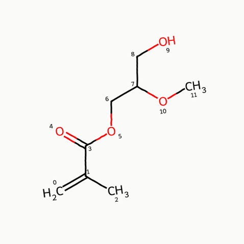 C=C(C)C(=O)OCC(CO)OC